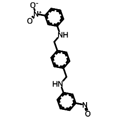 O=Nc1cccc(NCc2ccc(CNc3cccc([N+](=O)[O-])c3)cc2)c1